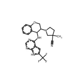 CC1(C#N)CCN(C2COc3ccccc3C2Nc2ncnc3[nH]c(C(F)(F)F)cc23)C1